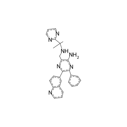 CC(C)(NCc1nc(-c2ccc3ncccc3c2)c(-c2ccccc2)nc1N)c1ncccn1